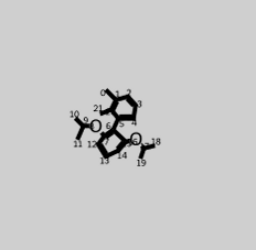 Cc1cccc(-c2c(OC(C)C)cccc2OC(C)C)c1C